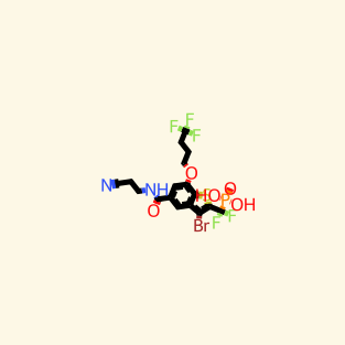 N#CCCNC(=O)c1cc(OCCCC(F)(F)F)c2sc(C(F)(F)P(=O)(O)O)c(Br)c2c1